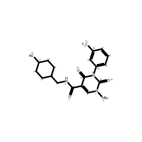 CCCCn1cc(C(=O)NCC2CCC(C#N)CC2)c(=O)n(-c2cccc(C(F)(F)F)c2)c1=O